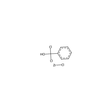 OC(Cl)(Cl)c1ccccc1.[Cl][Zr]